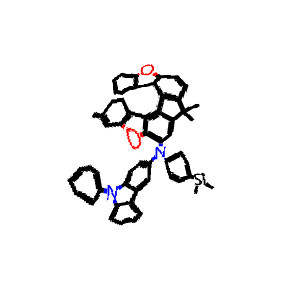 CC1=Cc2oc3c(N(c4ccc([Si](C)(C)C)cc4)c4ccc5c(c4)c4ccccc4n5-c4ccccc4)cc4c(c3c2CC1)C1=C(C=CC2Oc3ccccc3C12)C4(C)C